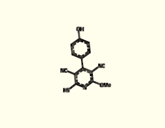 [C-]#[N+]c1c(OC)nc(S)c(C#N)c1-c1ccc(O)cc1